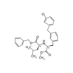 COC(=O)[C@H](Cc1cccc(Cc2cccc(Cl)c2)c1)N[C@@H](CC(C)C)C(=O)OCc1ccccc1